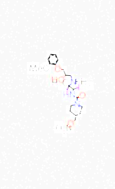 COc1ccccc1OCC(O)CN(C)C(C)(I)C(I)NC(=O)N1CCC(CO[N+](=O)[O-])CC1